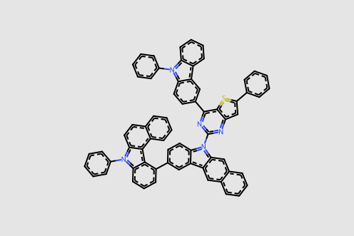 c1ccc(-c2cc3nc(-n4c5ccc(-c6cccc7c6c6c8ccccc8ccc6n7-c6ccccc6)cc5c5cc6ccccc6cc54)nc(-c4ccc5c(c4)c4ccccc4n5-c4ccccc4)c3s2)cc1